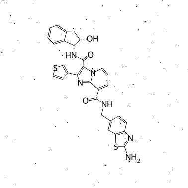 Nc1nc2ccc(CNC(=O)c3cccn4c(C(=O)N[C@@H]5c6ccccc6C[C@@H]5O)c(-c5ccsc5)nc34)cc2s1